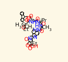 CCOC(C)(C)CCC(=O)N[C@@H](CCC(=O)N[C@H](C(=O)N[C@@H](C)C(=O)Nc1ccc2nc3c(c4c2c1CCC4)Cn1c-3cc2c(c1=O)COC(=O)[C@]2(O)CC)C(C)C)C(=O)OCC1c2ccccc2-c2ccccc21